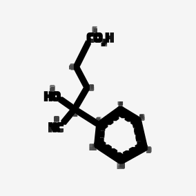 N#CC(O)(CCC(=O)O)c1ccccc1